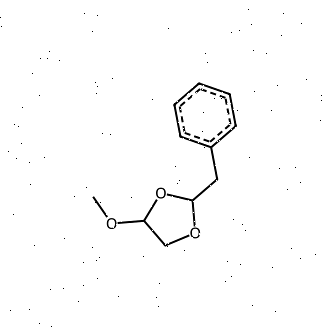 COC1COC(Cc2ccccc2)O1